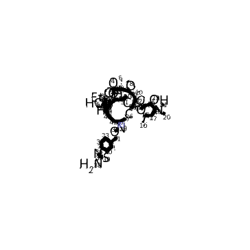 CC[C@H]1OC(=O)[C@H](C)C(=O)[C@H](C)[C@@H](O[C@@H]2O[C@H](C)C[C@H](N(C)C)[C@H]2O)[C@]2(C)CC/C(=N/OCc3ccc4nc(N)sc4c3)CC[C@H]([C@@H](C)C(=O)[C@H](C)C2)[C@]1(C)O